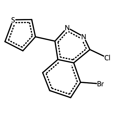 Clc1nnc(-c2ccsc2)c2cccc(Br)c12